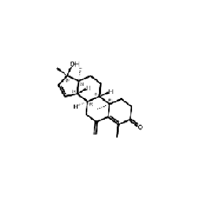 C=C1C[C@@H]2[C@H](CC[C@@]3(C)[C@H]2C=C[C@]3(C)O)[C@@]2(C)CCC(=O)C(C)=C12